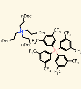 CCCCCCCCCCCC[N+](CCCCCCCCCCCC)(CCCCCCCCCCCC)CCCCCCCCCCCC.FC(F)(F)c1cc([B-](c2cc(C(F)(F)F)cc(C(F)(F)F)c2)(c2cc(C(F)(F)F)cc(C(F)(F)F)c2)c2cc(C(F)(F)F)cc(C(F)(F)F)c2)cc(C(F)(F)F)c1